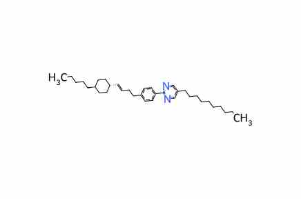 CCCCCCCCCCc1cnc(-c2ccc(CCC=C[C@H]3CC[C@H](CCCCC)CC3)cc2)nc1